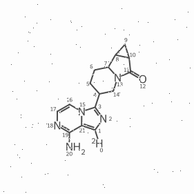 [2H]c1nc(C2CCC3C4CC4C(=O)N3C2)n2ccnc(N)c12